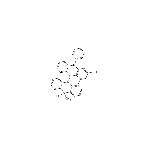 Cc1cc2c3c(c1)N(c1ccccc1)c1ccccc1B3N1c3ccccc3[Si](C)(C)c3cccc-2c31